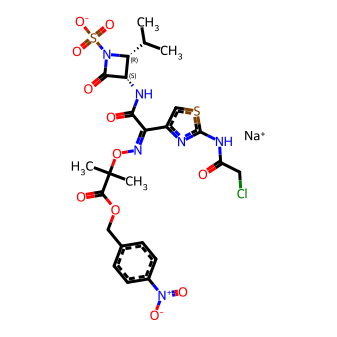 CC(C)[C@@H]1[C@H](NC(=O)C(=NOC(C)(C)C(=O)OCc2ccc([N+](=O)[O-])cc2)c2csc(NC(=O)CCl)n2)C(=O)N1S(=O)(=O)[O-].[Na+]